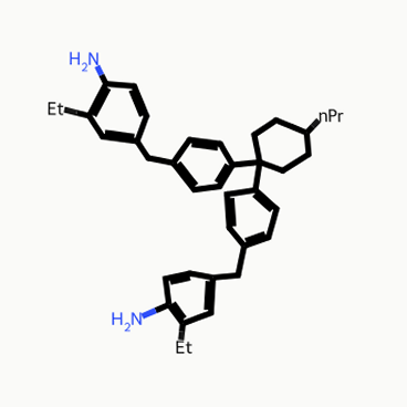 CCCC1CCC(c2ccc(Cc3ccc(N)c(CC)c3)cc2)(c2ccc(Cc3ccc(N)c(CC)c3)cc2)CC1